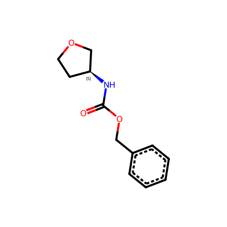 O=C(N[C@H]1CCOC1)OCc1ccccc1